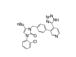 CCCCc1cn(-c2ccccc2Cl)c(=O)n1Cc1ccc(-c2cnccc2-c2nnn[nH]2)cc1